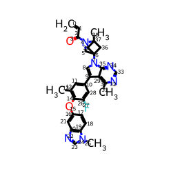 C=CC(=O)N1CC2(n3cc(-c4cc(C)c(Oc5ccc6c(c5)ncn6C)c(F)c4)c4c(C)ncnc43)CC1(C)C2